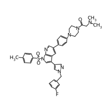 Cc1ccc(S(=O)(=O)n2cc(-c3cnn(Cc4cccc(F)c4)c3)c3cc(-c4ccc(N5CCN(C(=O)CN(C)C)CC5)cc4)cnc32)cc1